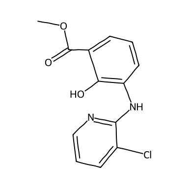 COC(=O)c1cccc(Nc2ncccc2Cl)c1O